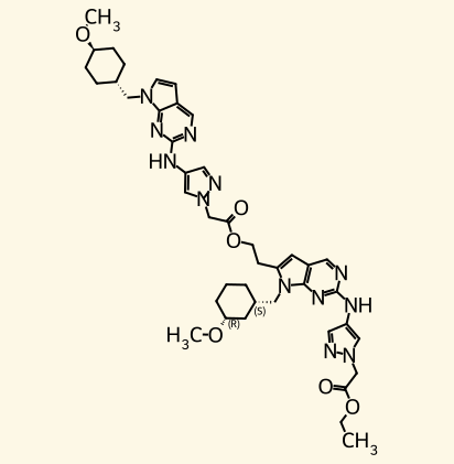 CCOC(=O)Cn1cc(Nc2ncc3cc(CCOC(=O)Cn4cc(Nc5ncc6ccn(C[C@H]7CC[C@H](OC)CC7)c6n5)cn4)n(C[C@H]4CCC[C@@H](OC)C4)c3n2)cn1